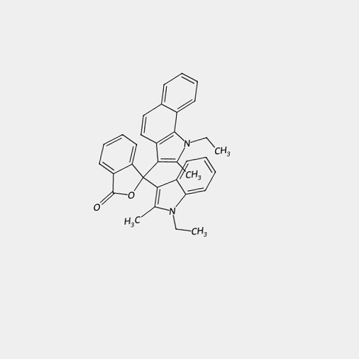 CCn1c(C)c(C2(c3c(C)n(CC)c4c3ccc3ccccc34)OC(=O)c3ccccc32)c2ccccc21